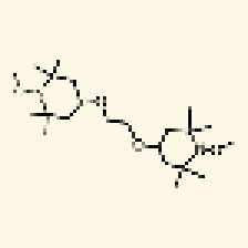 CON1C(C)(C)CC(OCCOC2CC(C)(C)N(OC)C(C)(C)C2)CC1(C)C